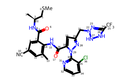 CSC[C@H](C)NC(=O)c1cc(C#N)cc(C)c1NC(=O)c1cc(CN2N=C(C(F)(F)F)NN2)nn1-c1ncccc1Cl